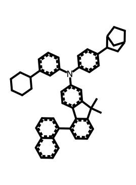 CC1(C)c2cc(N(c3ccc(C4CC5CCC4C5)cc3)c3cccc(C4CCCCC4)c3)ccc2-c2c(-c3cccc4ccccc34)cccc21